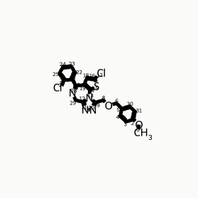 COc1ccc(COCc2nnc3n2-c2sc(Cl)cc2C(c2ccccc2Cl)=NC3)cc1